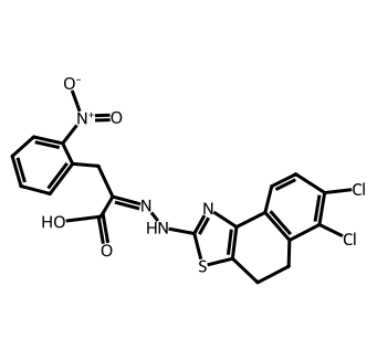 O=C(O)/C(Cc1ccccc1[N+](=O)[O-])=N\Nc1nc2c(s1)CCc1c-2ccc(Cl)c1Cl